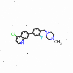 CN1CCN(Cc2ccc(-c3ccc4c(Cl)ccnc4c3)cc2F)CC1